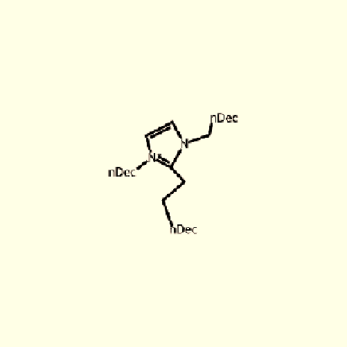 CCCCCCCCCCCCc1n(CCCCCCCCCCC)cc[n+]1CCCCCCCCCC